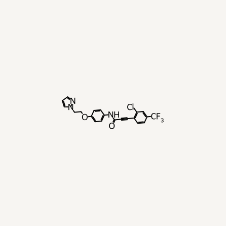 O=C(C#Cc1ccc(C(F)(F)F)cc1Cl)Nc1ccc(OCCn2cccn2)cc1